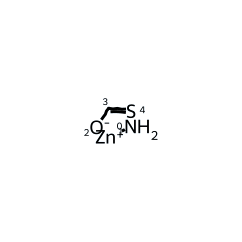 [NH2][Zn+].[O-]C=S